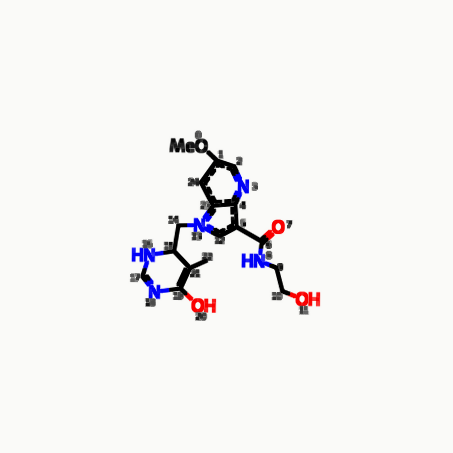 COc1cnc2c(C(=O)NCCO)cn(CC3NC=NC(O)=C3C)c2c1